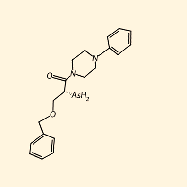 O=C([C@H]([AsH2])COCc1ccccc1)N1CCN(c2ccccc2)CC1